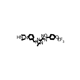 Cc1nc(-c2noc(-c3ccc(OC(F)(F)F)cc3)n2)nn1Cc1cccc(N2CCNCC2)c1